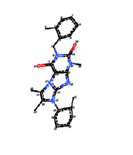 Cc1ccccc1Cn1c(=O)c2c(nc3n(-c4ccccc4C)c(C)c(C)n23)n(C)c1=O